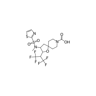 CN(C1CC2(CCN(C(=O)O)CC2)OC1C(C(F)(F)F)C(F)(F)F)S(=O)(=O)c1nccs1